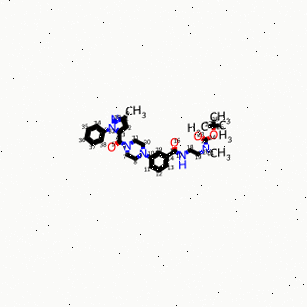 Cc1cc(C(=O)N2CCN(c3cccc(C(=O)NCCN(C)C(=O)OC(C)(C)C)c3)CC2)n(-c2ccccc2)n1